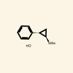 CN[C@@H]1C[C@H]1c1ccccc1.Cl